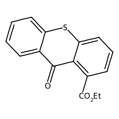 CCOC(=O)c1cccc2sc3ccccc3c(=O)c12